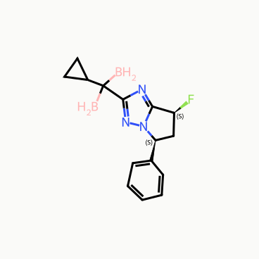 BC(B)(c1nc2n(n1)[C@H](c1ccccc1)C[C@@H]2F)C1CC1